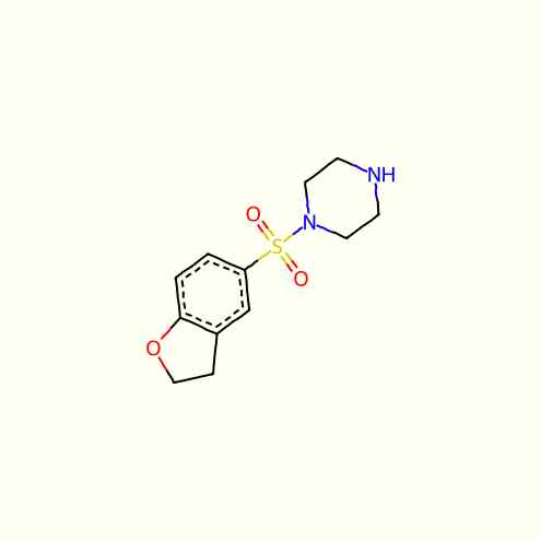 O=S(=O)(c1ccc2c(c1)CCO2)N1CCNCC1